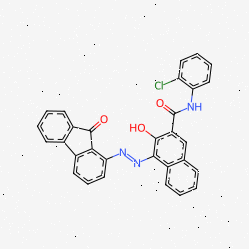 O=C(Nc1ccccc1Cl)c1cc2ccccc2c(N=Nc2cccc3c2C(=O)c2ccccc2-3)c1O